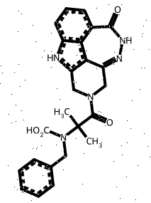 CC(C)(C(=O)N1CC2=NNC(=O)c3cccc4[nH]c(c2c34)C1)N(Cc1ccccc1)C(=O)O